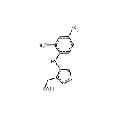 Cc1cc(C(F)(F)F)ccc1Nc1cscc1CC(=O)O